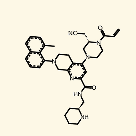 C=CC(=O)N1CCN(c2cc(C(=O)NC[C@@H]3CCCCN3)nc3c2CCN(c2cccc4cccc(C)c24)C3)C[C@@H]1CC#N